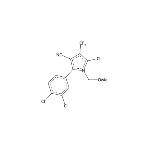 COCn1c(Cl)c(C(F)(F)F)c(C#N)c1-c1ccc(Cl)c(Cl)c1